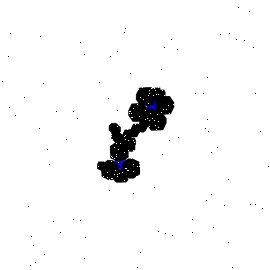 C=C/C=C1/c2ccc(N3C4=C(C=CCC4)C(C)(C)c4ccc(C)cc43)cc2C(C)(C)C1CC/C=C/c1c2ccccc2c(N2c3ccccc3C(C)(C)c3ccccc32)c2ccccc12